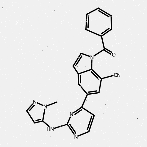 Cn1nccc1Nc1nccc(-c2cc(C#N)c3c(ccn3C(=O)c3ccccc3)c2)n1